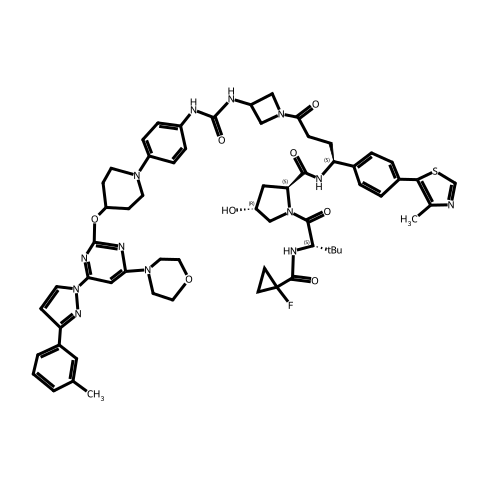 Cc1cccc(-c2ccn(-c3cc(N4CCOCC4)nc(OC4CCN(c5ccc(NC(=O)NC6CN(C(=O)CC[C@H](NC(=O)[C@@H]7C[C@@H](O)CN7C(=O)[C@@H](NC(=O)C7(F)CC7)C(C)(C)C)c7ccc(-c8scnc8C)cc7)C6)cc5)CC4)n3)n2)c1